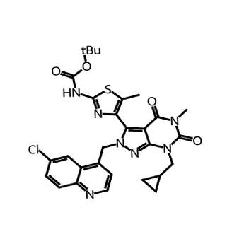 Cc1sc(NC(=O)OC(C)(C)C)nc1-c1c2c(=O)n(C)c(=O)n(CC3CC3)c2nn1Cc1ccnc2ccc(Cl)cc12